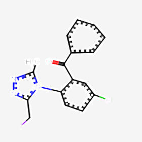 Cc1nnc(CI)n1-c1ccc(Cl)cc1C(=O)c1ccccc1